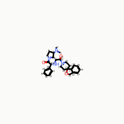 CN(C)C1CCN(C(=O)[C@H](NCC(=O)N2CCC3(CC2)OCc2ccccc23)c2ccccc2)C1